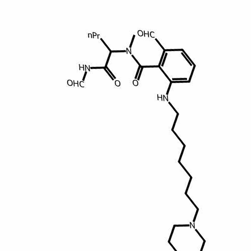 CCCC(C(=O)NC=O)N(C)C(=O)c1c(C=O)cccc1NCCCCCCCN1CCCCC1